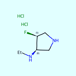 CCN[C@@H]1CNC[C@@H]1F.Cl.Cl